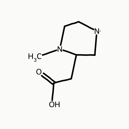 CN1CC[N]CC1CC(=O)O